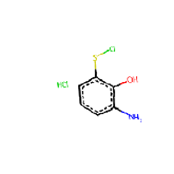 Cl.Nc1cccc(SCl)c1O